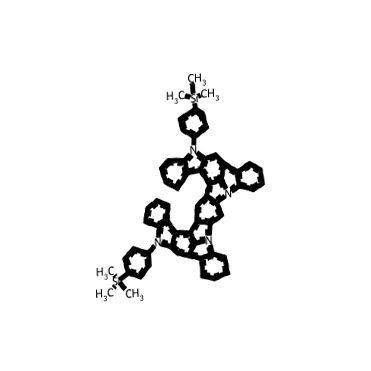 C[Si](C)(C)c1ccc(-n2c3ccccc3c3c4c5cc6c7c8c9ccccc9n(-c9ccc([Si](C)(C)C)cc9)c8cc8c9ccccc9n(c6cc5n5c6ccccc6c(cc32)c45)c87)cc1